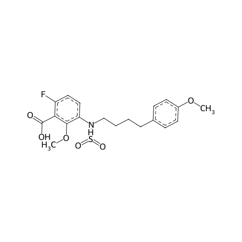 COc1ccc(CCCCN(c2ccc(F)c(C(=O)O)c2OC)[SH](=O)=O)cc1